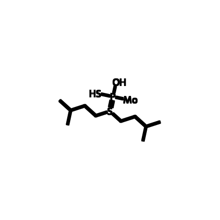 CC(C)CCS(CCC(C)C)=[P](O)(S)[Mo]